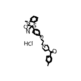 Cc1ccc(C(=O)C2CCN(CCCOc3ccc(C4(C#N)Sc5ccccc5N(C)C4=O)cc3)CC2)cc1.Cl